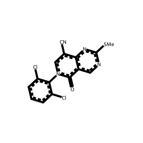 CSc1ncc2c(=O)n(-c3c(Cl)cccc3Cl)cc(C#N)c2n1